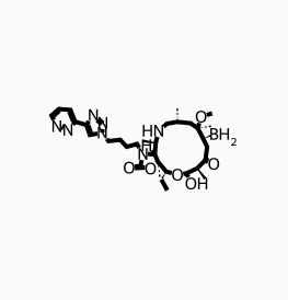 B[C@@H]1CC(=O)[C@@H](C)C(O)O[C@H](CC)[C@@]2(C)OC(=O)N(CCCCn3cc(-c4cccnn4)nn3)[C@@H]2[C@@H](C)NC[C@H](C)C[C@@]1(C)OC